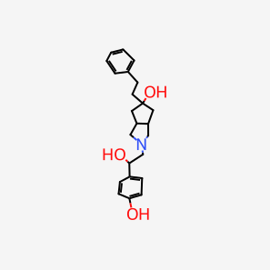 Oc1ccc(C(O)CN2CC3CC(O)(CCc4ccccc4)CC3C2)cc1